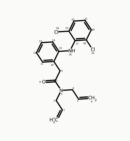 C=CCN(CC=C)C(=O)Cc1ccccc1Nc1c(Cl)cccc1Cl